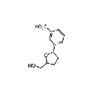 O=C(O)c1ccc[n+](C2CCC(CO)O2)c1